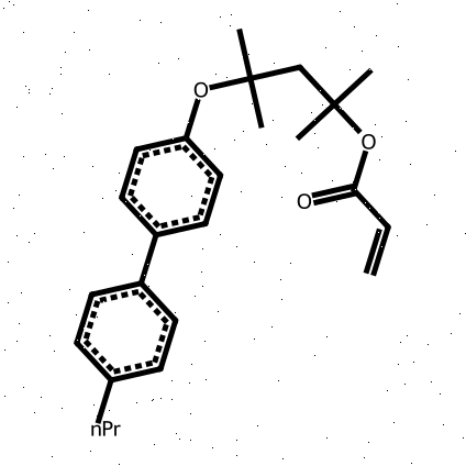 C=CC(=O)OC(C)(C)CC(C)(C)Oc1ccc(-c2ccc(CCC)cc2)cc1